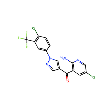 Nc1ncc(Cl)cc1C(=O)c1cnn(-c2ccc(Cl)c(C(F)(F)F)c2)c1